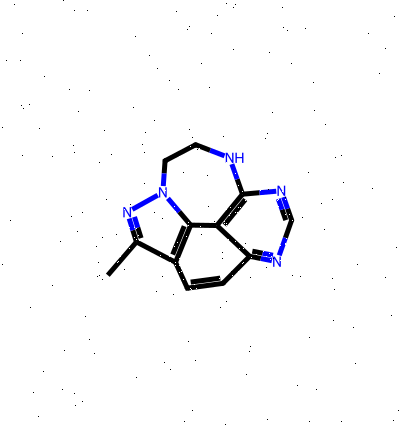 Cc1nn2c3c1ccc1ncnc(c13)NCC2